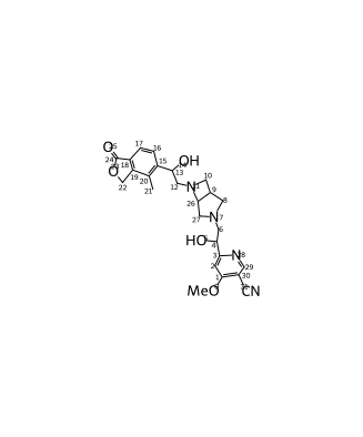 COc1cc(C(O)CN2CC3CN(CC(O)c4ccc5c(c4C)COC5=O)C3C2)ncc1C#N